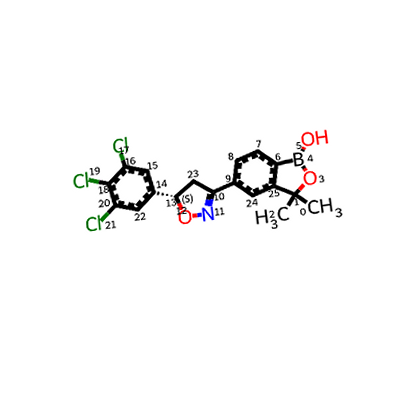 CC1(C)OB(O)c2ccc(C3=NO[C@H](c4cc(Cl)c(Cl)c(Cl)c4)C3)cc21